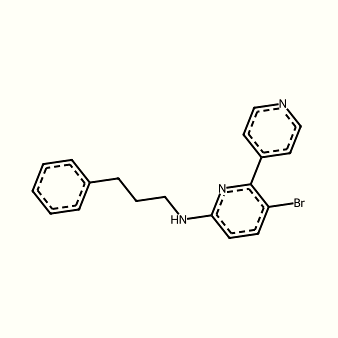 Brc1ccc(NCCCc2ccccc2)nc1-c1ccncc1